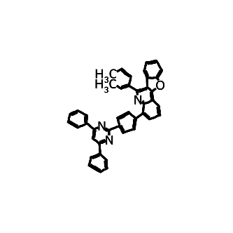 C/C=C\C(=C/C)c1nc2c(-c3ccc(-c4nc(-c5ccccc5)cc(-c5ccccc5)n4)cc3)cccc2c2oc3ccccc3c12